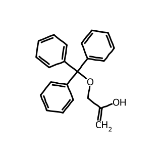 C=C(O)COC(c1ccccc1)(c1ccccc1)c1ccccc1